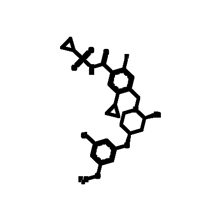 CC[C@H]1C[C@@H](Oc2cc(Cl)cc(OC(F)(F)F)c2)CCN1Cc1cc(F)c(C(=O)NS(=O)(=O)C2CC2)cc1C1CC1